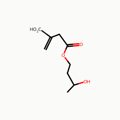 C=C(CC(=O)OCCC(C)O)C(=O)O